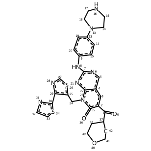 O=C(c1cc2cnc(Nc3ccc(N4CCNCC4)cc3)nc2n(Cc2scnc2-c2nccs2)c1=O)C1CCOCC1